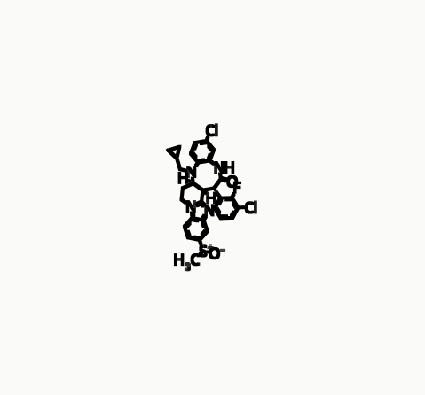 C[S+]([O-])c1ccc2c(c1)nc1n2CC[C@H]2[C@@H]1[C@H](c1cccc(Cl)c1F)C(=O)Nc1cc(Cl)ccc1N2CC1CC1